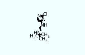 CC(C)(C)NCCNc1ccnc(Cl)n1